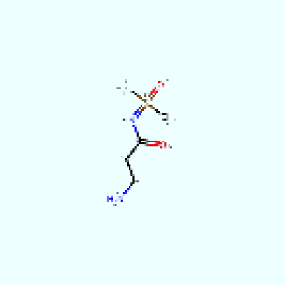 CS(C)(=O)=NC(=O)CCN